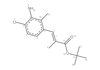 C/C(=C\c1ccc(Cl)c(N)c1C)C(=O)OC(C)(C)C